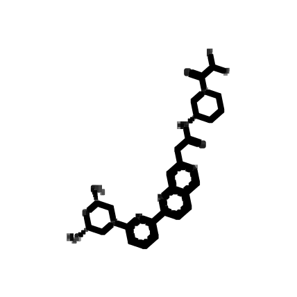 C[C@@H]1CN(c2cccc(-c3ccc4cnc(CC(=O)N[C@H]5CCCN(C(=O)C(F)F)C5)cc4n3)n2)C[C@H](C)O1